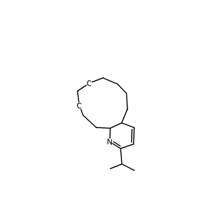 CC(C)C1=NC2CCCCCCCCCC2C=C1